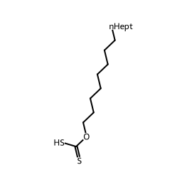 CCCCCCCCCCCCCCCOC(=S)S